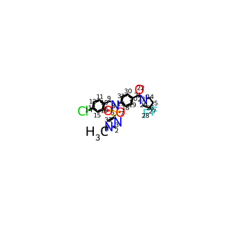 Cn1cnc(S(=O)(=O)N(Cc2ccc(Cl)cc2)c2ccc(C(=O)N3CCC(F)(F)C3)cc2)c1